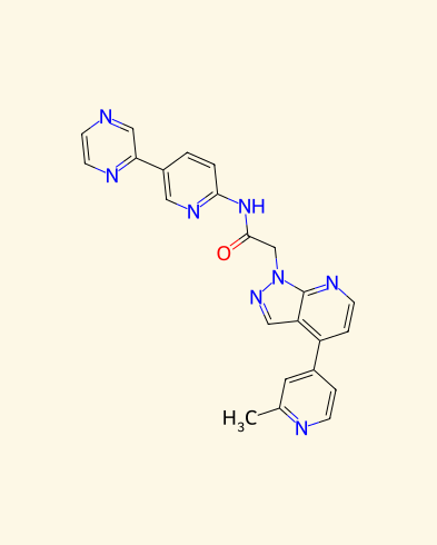 Cc1cc(-c2ccnc3c2cnn3CC(=O)Nc2ccc(-c3cnccn3)cn2)ccn1